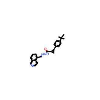 CC(C)(C)c1ccc(C2CC2C(=O)N/N=C/c2cccc3cnccc23)cc1